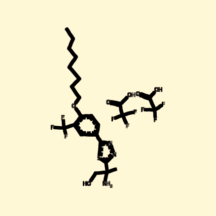 CCCCCCCCOc1ccc(-c2nnc(C(C)(N)CO)s2)cc1C(F)(F)F.O=C(O)C(F)(F)F.O=C(O)C(F)(F)F